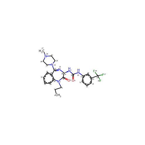 CCCN1C(=O)[C@H](NC(=O)Nc2cccc(C(F)(F)F)c2)N=C(N2CCN(C)CC2)c2ccccc21